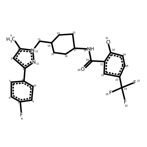 Cc1cc(-c2ccc(F)cc2)nn1CC1CCC(NC(=O)c2cc(C(F)(F)F)ccc2Cl)CC1